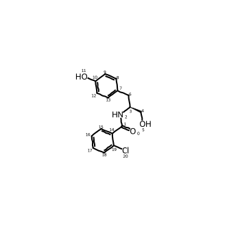 O=C(N[C@H](CO)Cc1ccc(O)cc1)c1ccccc1Cl